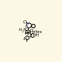 CCCCCCC1NCCC(N2CCN(C)C(C)C2)C1NC(=O)C(C(N)N)C1CC2(C/C=C(Cl)\C=N/1)CCCCC2